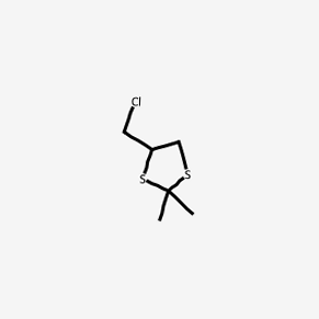 CC1(C)SCC(CCl)S1